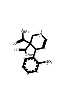 COC(=O)C1(C(=O)OC)CNC=CC1c1ccccc1[N+](=O)[O-]